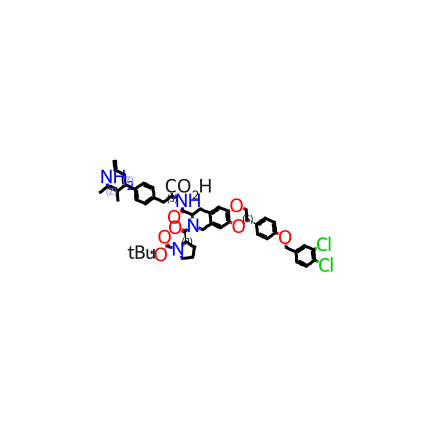 C=C/C=C(\C(C)=C(\C)N)c1ccc(C[C@H](NC(=O)C2Cc3cc4c(cc3CN2C(=O)[C@H]2CCCN2C(=O)OC(C)(C)C)O[C@@H](c2ccc(OCc3ccc(Cl)c(Cl)c3)cc2)CO4)C(=O)O)cc1